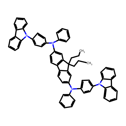 CCCC1(CCC)c2cc(N(c3ccccc3)c3ccc(-n4c5ccccc5c5ccccc54)cc3)ccc2-c2ccc(N(c3ccccc3)c3ccc(-n4c5ccccc5c5ccccc54)cc3)cc21